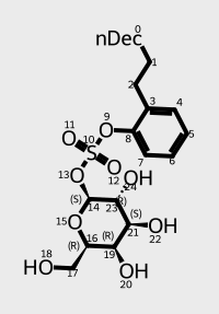 CCCCCCCCCCCCc1ccccc1OS(=O)(=O)O[C@@H]1O[C@H](CO)[C@H](O)[C@H](O)[C@H]1O